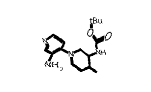 CC1CCN(c2ccncc2N)CC1NC(=O)OC(C)(C)C